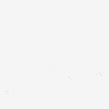 COc1ccccc1C(C)CC(=O)Nc1sc2c(c1C#N)CCC(CO)C2